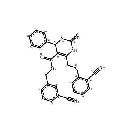 N#Cc1cccc(COC(=O)C2=C(COc3ccccc3C#N)NC(=O)NC2c2ccccc2)c1